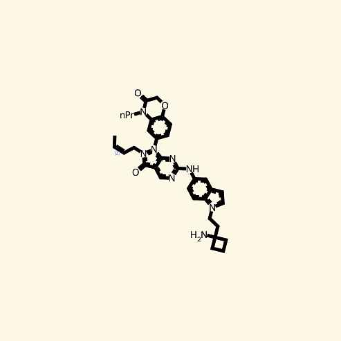 C/C=C\Cn1c(=O)c2cnc(Nc3ccc4c(ccn4CCC4(N)CCC4)c3)nc2n1-c1ccc2c(c1)N(CCC)C(=O)CO2